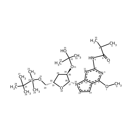 COc1nc(NC(=O)C(C)C)nc2c1ccn2[C@@H]1O[C@H](CO[Si](C)(C)C(C)(C)C)C[C@H]1OC(C)(C)O